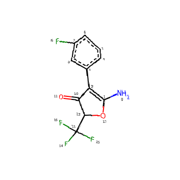 NC1=C(c2cccc(F)c2)C(=O)C(C(F)(F)F)O1